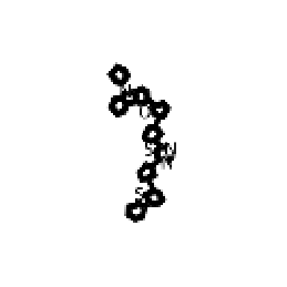 c1ccc(-n2c3ccccc3c3c4oc5c(-c6ccc7sc8c(-c9cccc(-c%10cccc%11c%10sc%10ccccc%10%11)c9)ncnc8c7c6)cccc5c4ccc32)cc1